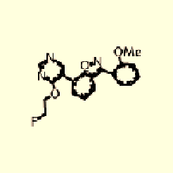 COc1ccccc1-c1noc2c(-c3cncnc3OCCF)cccc12